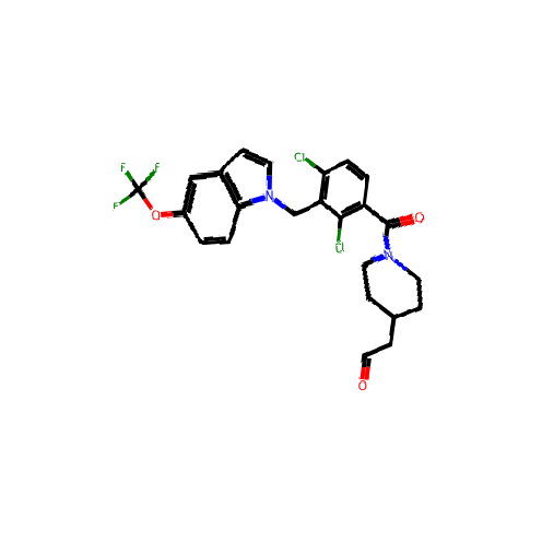 O=CCC1CCN(C(=O)c2ccc(Cl)c(Cn3ccc4cc(OC(F)(F)F)ccc43)c2Cl)CC1